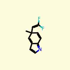 CC1(C=C(F)F)C=CC2=NC=CC2=C1